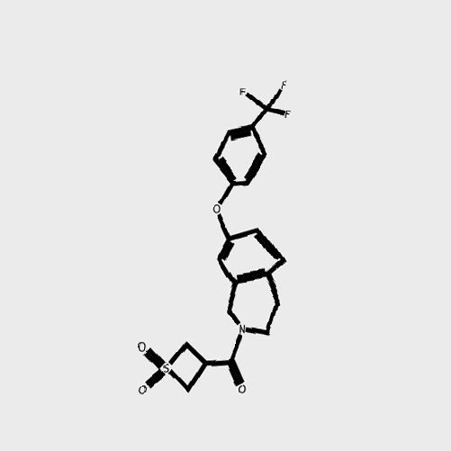 O=C(C1CS(=O)(=O)C1)N1CCc2ccc(Oc3ccc(C(F)(F)F)cc3)cc2C1